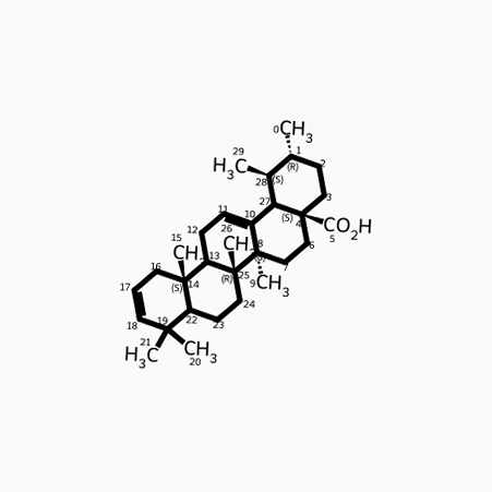 C[C@@H]1CC[C@]2(C(=O)O)CC[C@]3(C)C(=CCC4[C@@]5(C)CC=CC(C)(C)C5CC[C@]43C)C2[C@H]1C